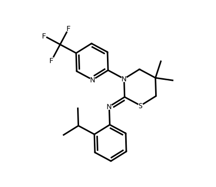 CC(C)c1ccccc1N=C1SCC(C)(C)CN1c1ccc(C(F)(F)F)cn1